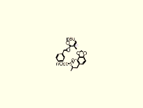 CCCC/C=C(/C)C(=O)OCc1ccccc1.CCCCCCCC[S+]([O-])C(C)Cc1ccc2c(c1)OCO2